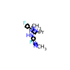 Cc1cn(-c2ccc(Nc3cc(C(C)C)nc4c3nc(-c3ccc(F)cc3)n4C)cc2F)cn1